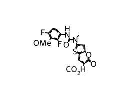 COc1c(F)ccc(NC(=O)N(C)c2cc3oc(=O)c(C(=O)O)cc3s2)c1F